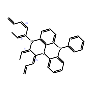 C=C/C=C\C(=C/C)N1C(=C/C)/C(=C\C=C)B2c3ccccc3N(c3ccccc3)c3cccc1c32